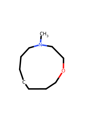 CN1CCCCCCCOCC1